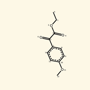 CCOC(=O)C(=O)c1ccc(OC)cc1